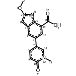 COn1cc2cc(-c3ccc(=O)n(C)c3)cc(C(=O)O)c2n1